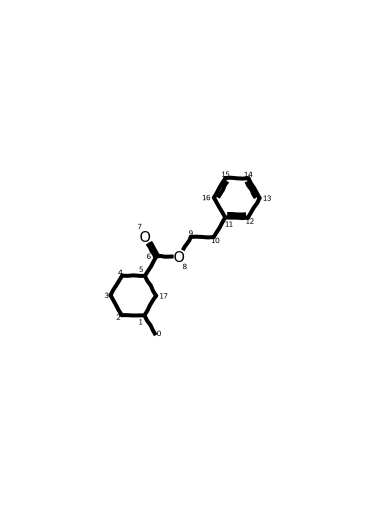 CC1CCCC(C(=O)OCCc2ccccc2)C1